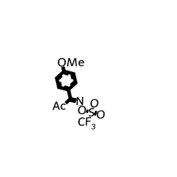 COc1ccc(C(=NOS(=O)(=O)C(F)(F)F)C(C)=O)cc1